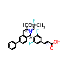 C[C@@H]1Cc2cc(-c3ccccc3)ccc2[C@@H](c2c(F)cc(/C=C/C(=O)O)cc2F)N1CC(C)(C)F